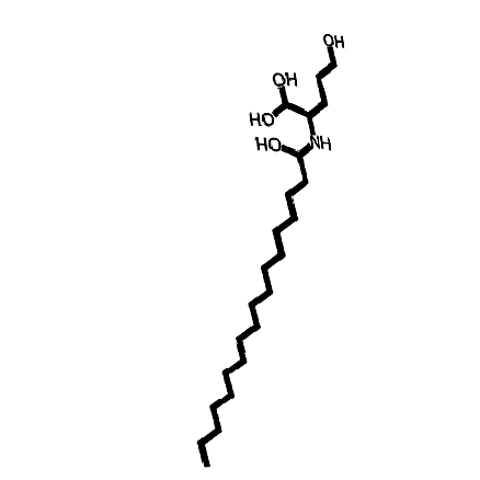 CCCCCCCCCCCCCCCCCC(O)NC(CCCO)C(O)O